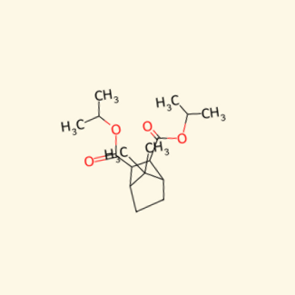 CC(C)OC(=O)C1C(C(=O)OC(C)C)C2CCC1C2(C)C